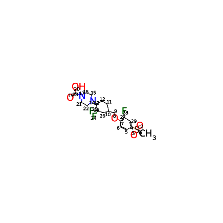 CS(=O)(=O)c1ccc(OC[C@@H]2CC[C@@H](N3CCN(C(=O)O)CC3)C(F)(F)C2)c(F)c1